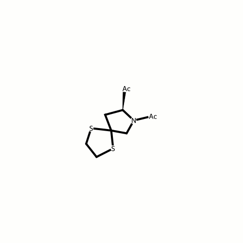 CC(=O)[C@@H]1CC2(CN1C(C)=O)SCCS2